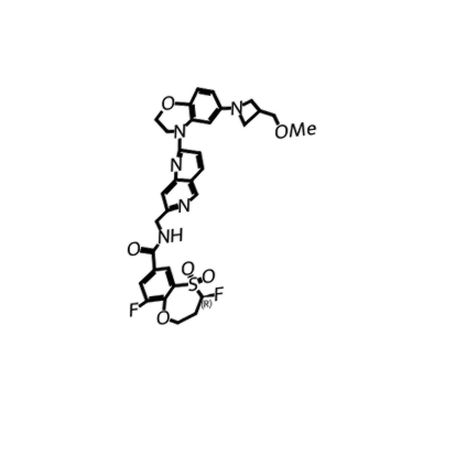 COCC1CN(c2ccc3c(c2)N(c2ccc4cnc(CNC(=O)c5cc(F)c6c(c5)S(=O)(=O)[C@@H](F)CCO6)cc4n2)CCO3)C1